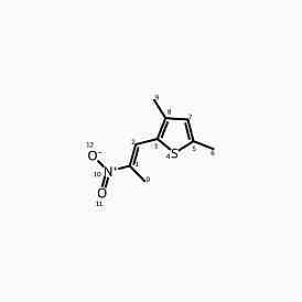 C/C(=C\c1sc(C)cc1C)[N+](=O)[O-]